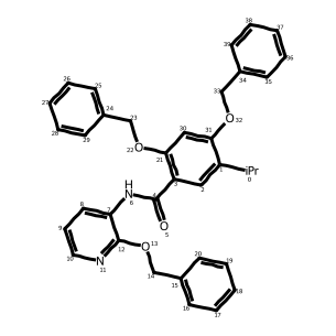 CC(C)c1cc(C(=O)Nc2cccnc2OCc2ccccc2)c(OCc2ccccc2)cc1OCc1ccccc1